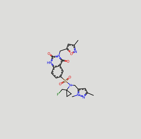 Cc1cc(Cn2c(=O)[nH]c3ccc(S(=O)(=O)N(Cc4cc(C)nn4C)C4(CF)CC4)cc3c2=O)on1